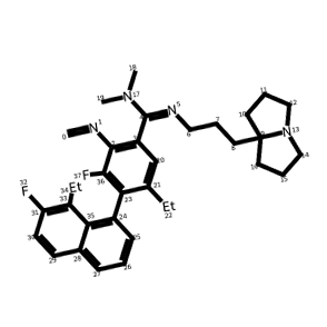 C=Nc1c(/C(=N\CCCC23CCCN2CCC3)N(C)C)cc(CC)c(-c2cccc3ccc(F)c(CC)c23)c1F